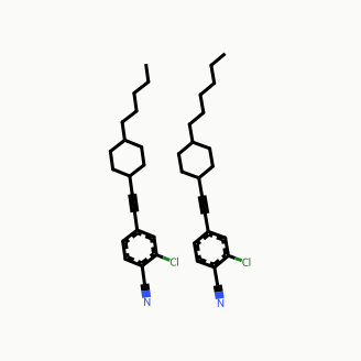 CCCCCC1CCC(C#Cc2ccc(C#N)c(Cl)c2)CC1.CCCCCCC1CCC(C#Cc2ccc(C#N)c(Cl)c2)CC1